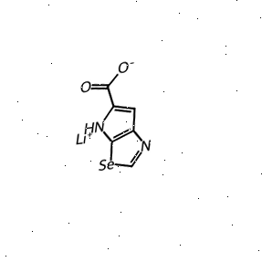 O=C([O-])c1cc2nc[se]c2[nH]1.[Li+]